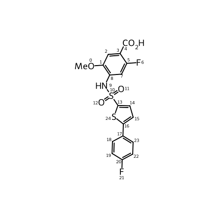 COc1cc(C(=O)O)c(F)cc1NS(=O)(=O)c1ccc(-c2ccc(F)cc2)s1